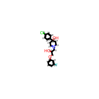 OC(COc1cccc(F)c1)CN1CCC(O)(c2ccc(Cl)cc2)CC1